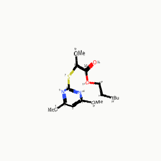 COc1cc(OC)nc(SC(OC)C(=O)OCCC(C)(C)C)n1